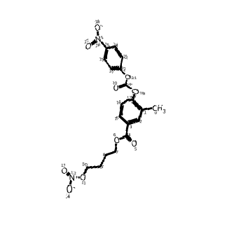 Cc1cc(C(=O)OCCCCO[N+](=O)[O-])ccc1OC(=O)Oc1ccc([N+](=O)[O-])cc1